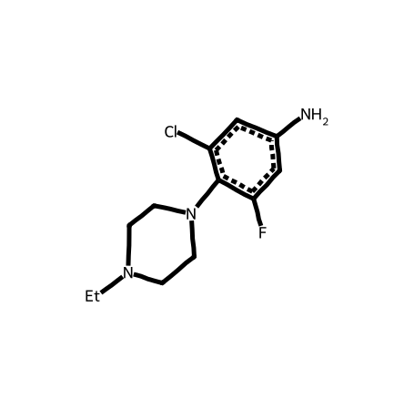 CCN1CCN(c2c(F)cc(N)cc2Cl)CC1